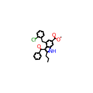 CCCc1[nH]c2cc(C(=O)OC)cc(Cc3ccccc3Cl)c2c1C(=O)c1ccccc1